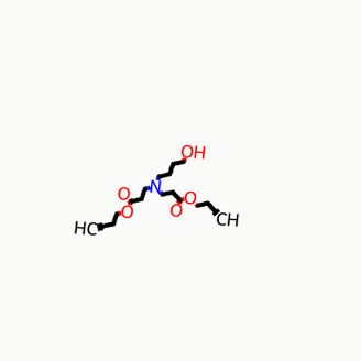 C#CCCOC(=O)CCN(CCCCO)CCC(=O)OCCC#C